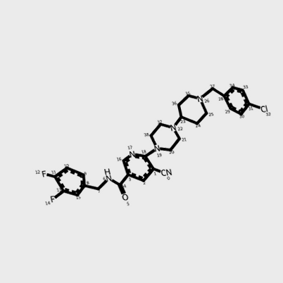 N#Cc1cc(C(=O)NCc2ccc(F)c(F)c2)cnc1N1CCN(C2CCN(Cc3ccc(Cl)cc3)CC2)CC1